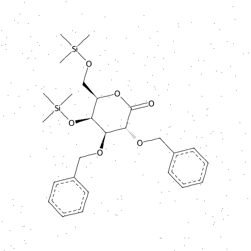 C[Si](C)(C)OC[C@H]1OC(=O)[C@H](OCc2ccccc2)[C@@H](OCc2ccccc2)[C@H]1O[Si](C)(C)C